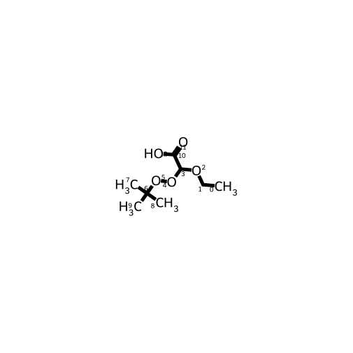 CCOC(OOC(C)(C)C)C(=O)O